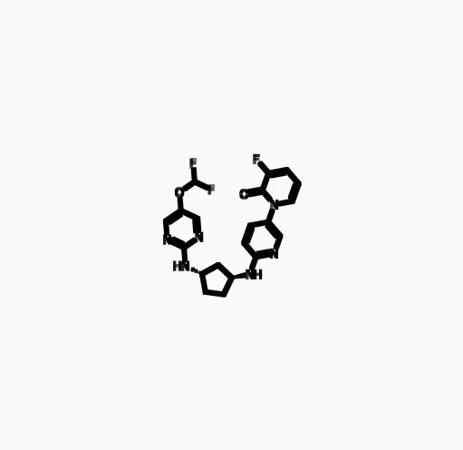 O=c1c(F)cccn1-c1ccc(N[C@H]2CC[C@H](Nc3ncc(OC(F)F)cn3)C2)nc1